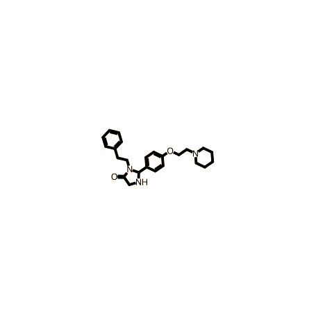 O=C1CNC(c2ccc(OCCN3CCCCC3)cc2)N1CCc1ccccc1